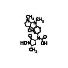 C[C@H]1C[C@@H](N(C(=O)O)c2ccc3c(c2)[C@]2(C)CCN(C)C2N3C)C(=O)N1O